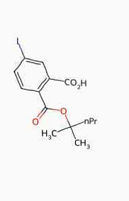 CCCC(C)(C)OC(=O)c1ccc(I)cc1C(=O)O